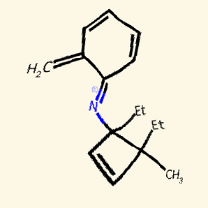 C=C1C=CC=C/C1=N\C1(CC)C=CC1(C)CC